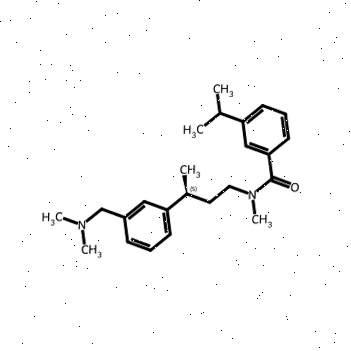 CC(C)c1cccc(C(=O)N(C)CC[C@H](C)c2cccc(CN(C)C)c2)c1